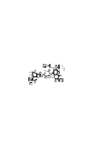 N.Nc1cc(C2CCC(NCc3cccc(C(F)(F)F)c3)CC2)c2ccc(Cl)cc2n1